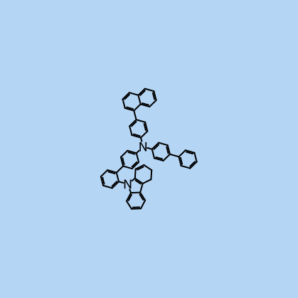 C1=Cc2c(c3ccccc3n2-c2ccccc2-c2ccc(N(c3ccc(-c4ccccc4)cc3)c3ccc(-c4cccc5ccccc45)cc3)cc2)CC1